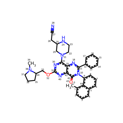 Cc1cccc2cccc(-n3c(-c4ccccc4)nc4c(N5CCNC(CC#N)C5)nc(OCC5CCCN5C)nc4c3=O)c12